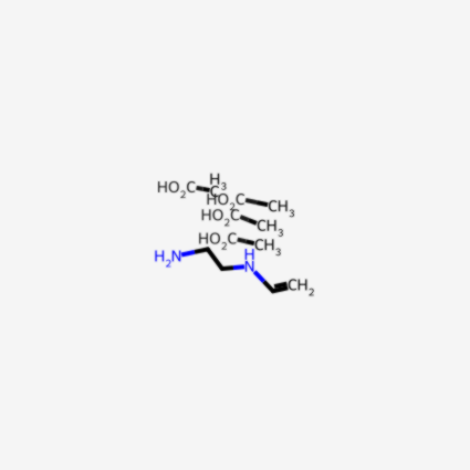 C=CNCCN.CC(=O)O.CC(=O)O.CC(=O)O.CC(=O)O